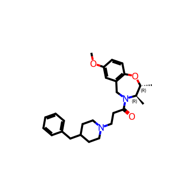 COc1ccc2c(c1)CN(C(=O)CCN1CCC(Cc3ccccc3)CC1)[C@H](C)[C@@H](C)O2